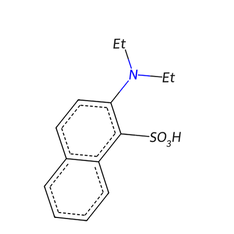 CCN(CC)c1ccc2ccccc2c1S(=O)(=O)O